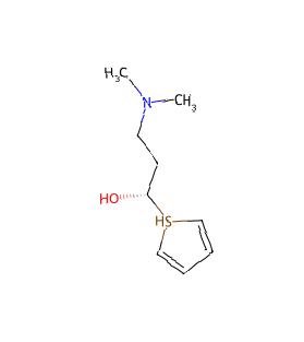 CN(C)CC[C@@H](O)[SH]1C=CC=C1